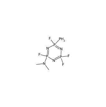 CN(C)P1(F)=NP(F)(P)=NP(F)(F)=N1